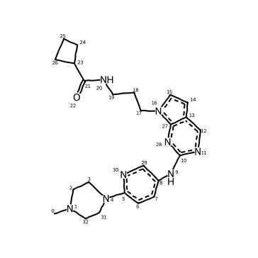 CN1CCN(c2ccc(Nc3ncc4ccn(CCCNC(=O)C5CCC5)c4n3)cn2)CC1